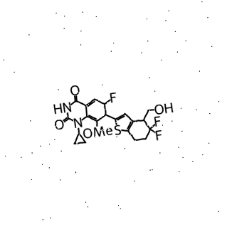 COC1=c2c(c(=O)[nH]c(=O)n2C2CC2)=CC(F)C1c1cc2c(s1)CCC(F)(F)C2CO